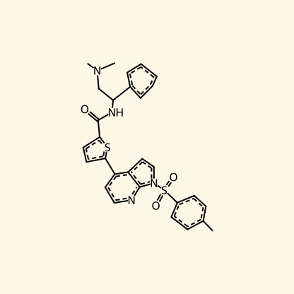 Cc1ccc(S(=O)(=O)n2ccc3c(-c4ccc(C(=O)NC(CN(C)C)c5ccccc5)s4)ccnc32)cc1